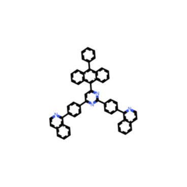 c1ccc(-c2c3ccccc3c(-c3cc(-c4ccc(-c5nccc6ccccc56)cc4)nc(-c4ccc(-c5nccc6ccccc56)cc4)n3)c3ccccc23)cc1